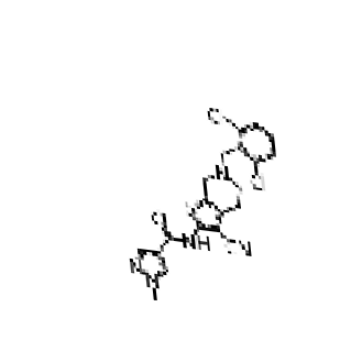 Cn1cc(C(=O)Nc2sc3c(c2C#N)CCN(Cc2c(Cl)cccc2Cl)C3)cn1